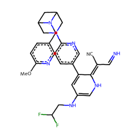 COc1ccc(CN2C3CC2CN(c2ccc(C4=CC(NCC(F)F)=CN/C4=C(/C#N)C=N)cn2)C3)cn1